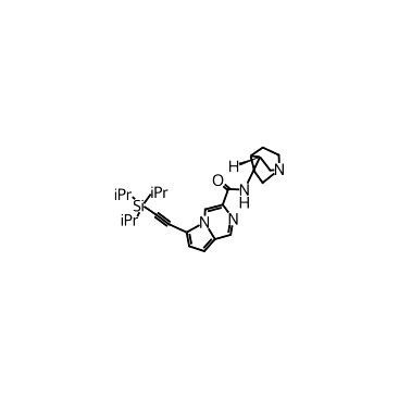 CC(C)[Si](C#Cc1ccc2cnc(C(=O)N[C@H]3CN4CCC3CC4)cn12)(C(C)C)C(C)C